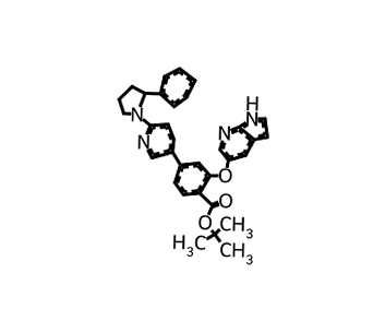 CC(C)(C)OC(=O)c1ccc(-c2ccc(N3CCCC3c3ccccc3)nc2)cc1Oc1cnc2[nH]ccc2c1